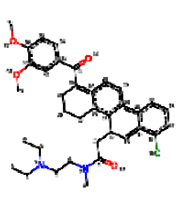 CCN(CC)CCN(C)C(=O)CC1C=c2c(Cl)cccc2=c2ccc3c(c21)CCCC=3C(=O)c1ccc(OC)c(OC)c1